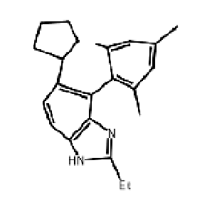 CCc1nc2c(-c3c(C)cc(C)cc3C)c(C3CCCC3)ccc2[nH]1